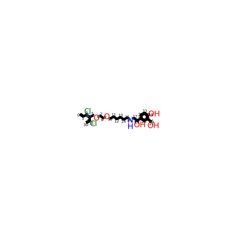 C=C/C(Cl)=C(/COCCOCCCCCCNC[C@H](O)c1ccc(O)c(CO)c1)C(=C)Cl